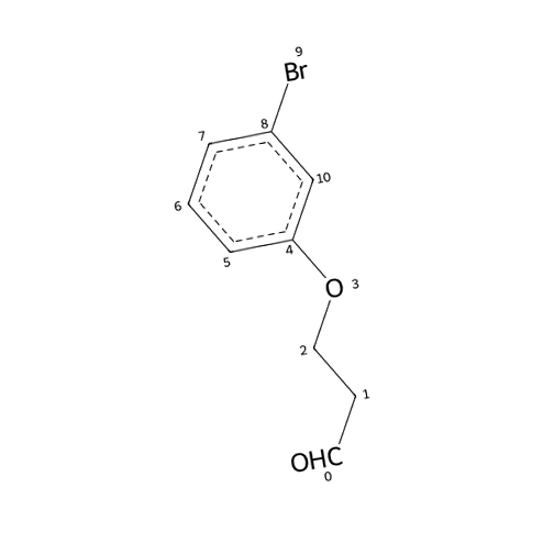 O=CCCOc1cccc(Br)c1